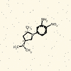 C[C@H]1C[C@H](N(C)C)CN1c1ccc([N+](=O)[O-])c(N)c1